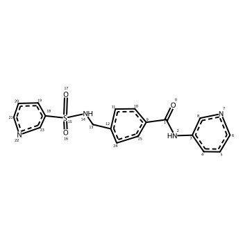 O=C(Nc1cccnc1)c1ccc(CNS(=O)(=O)c2cccnc2)cc1